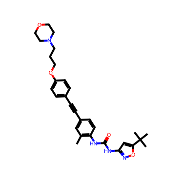 Cc1cc(C#Cc2ccc(OCCCN3CCOCC3)cc2)ccc1NC(=O)Nc1cc(C(C)(C)C)on1